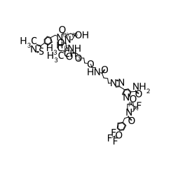 Cc1ncsc1-c1ccc(CNC(=O)[C@@H]2C[C@@H](O)CN2C(=O)[C@@H](NC(=O)COCCOCCNC(=O)CCCn2cnc(-c3cnc(O[C@@H]4CCN(C(=O)Cc5ccc(OC(F)(F)F)cc5)C[C@H]4F)c(C(N)=O)c3)c2)C(C)(C)C)cc1